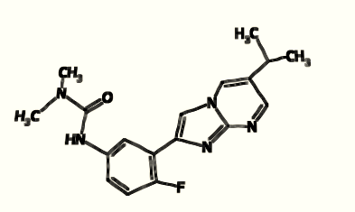 CC(C)c1cnc2nc(-c3cc(NC(=O)N(C)C)ccc3F)cn2c1